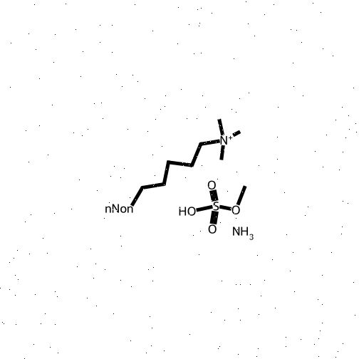 CCCCCCCCCCCCCC[N+](C)(C)C.COS(=O)(=O)O.N